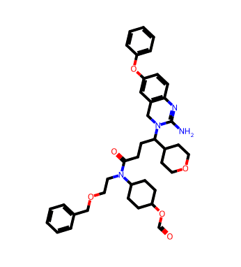 NC1=Nc2ccc(Oc3ccccc3)cc2CN1C(CCC(=O)N(CCOCc1ccccc1)C1CCC(OC=O)CC1)C1CCOCC1